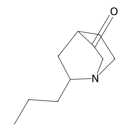 CCCC1CC2CCN1CC2=O